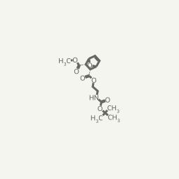 COC(=O)[C@@H]1C2C=CC(O2)[C@@H]1C(=O)OCCNC(=O)OC(C)(C)C